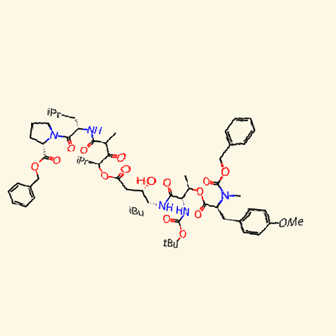 CC[C@H](C)[C@@H](NC(=O)[C@@H](NC(=O)OC(C)(C)C)[C@@H](C)OC(=O)[C@H](Cc1ccc(OC)cc1)N(C)C(=O)OCc1ccccc1)[C@@H](O)CC(=O)O[C@H](C(=O)C(C)C(=O)N[C@@H](CC(C)C)C(=O)N1CCC[C@H]1C(=O)OCc1ccccc1)C(C)C